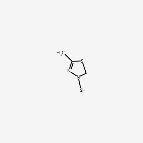 CC1=NN(S)CS1